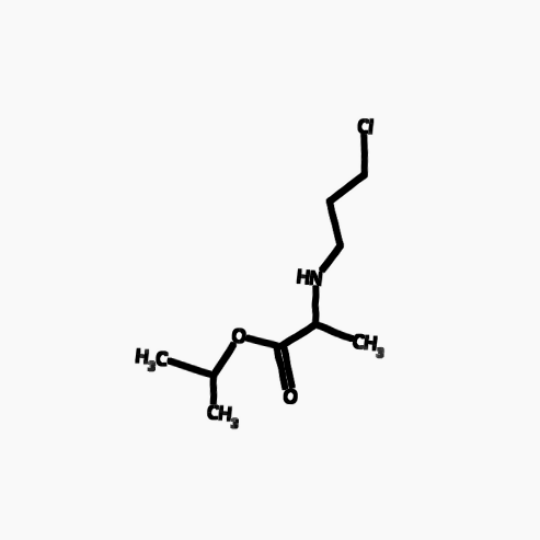 CC(C)OC(=O)C(C)NCCCCl